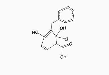 O=C(O)C1C=CC(O)=C(Cc2ccccc2)C1(O)Cl